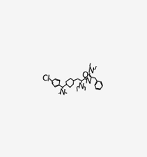 CCN(CC)c1oc(C(CC2CCC(C(c3ccc(Cl)cc3)N(C)C)CC2)N(CC)CC)nc1Cc1ccccc1